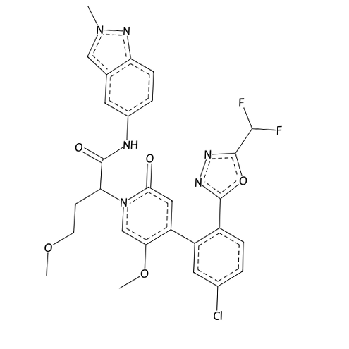 COCCC(C(=O)Nc1ccc2nn(C)cc2c1)n1cc(OC)c(-c2cc(Cl)ccc2-c2nnc(C(F)F)o2)cc1=O